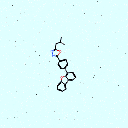 CC(C)Cc1nnc(-c2ccc(-c3cccc4c3oc3ccccc34)cc2)o1